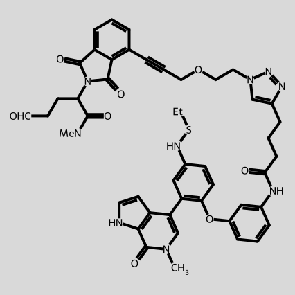 CCSNc1ccc(Oc2cccc(NC(=O)CCCc3cn(CCOCC#Cc4cccc5c4C(=O)N(C(CCC=O)C(=O)NC)C5=O)nn3)c2)c(-c2cn(C)c(=O)c3[nH]ccc23)c1